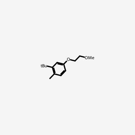 COCCOc1ccc(C)c(C(C)(C)C)c1